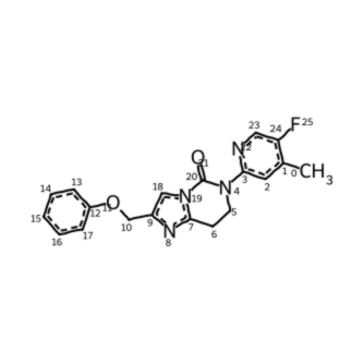 Cc1cc(N2CCc3nc(COc4ccccc4)cn3C2=O)ncc1F